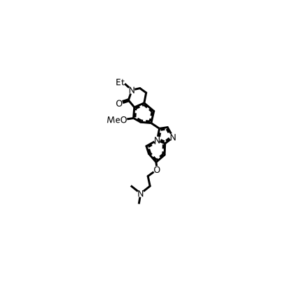 CCN1CCc2cc(-c3cnc4cc(OCCN(C)C)ccn34)cc(OC)c2C1=O